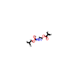 C=C(C)C(=O)OCCNC(=O)OCC(C)C